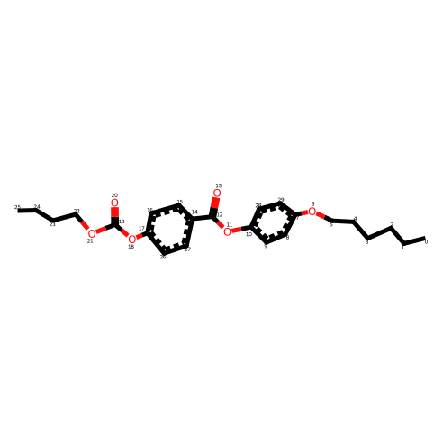 CCCCCCOc1ccc(OC(=O)c2ccc(OC(=O)OCCCC)cc2)cc1